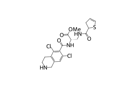 COC(=O)[C@H](CNC(=O)C1CC=CS1)NC(=O)c1c(Cl)cc2c(c1Cl)CCNC2